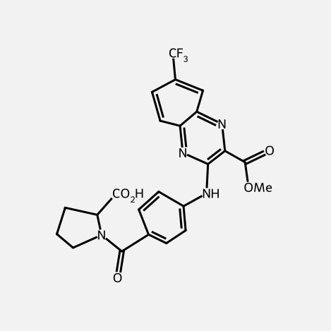 COC(=O)c1nc2cc(C(F)(F)F)ccc2nc1Nc1ccc(C(=O)N2CCCC2C(=O)O)cc1